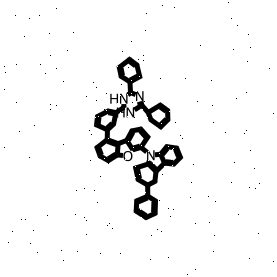 C1=CCC(C2=NC(c3ccccc3)NC(c3cccc(-c4cccc5oc6c(-n7c8c(c9ccccc97)CC(c7ccccc7)C=C8)cccc6c45)c3)N2)C=C1